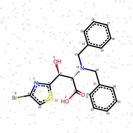 O=C(O)[C@H]([C@H](O)c1nc(Br)cs1)N(Cc1ccccc1)Cc1ccccc1